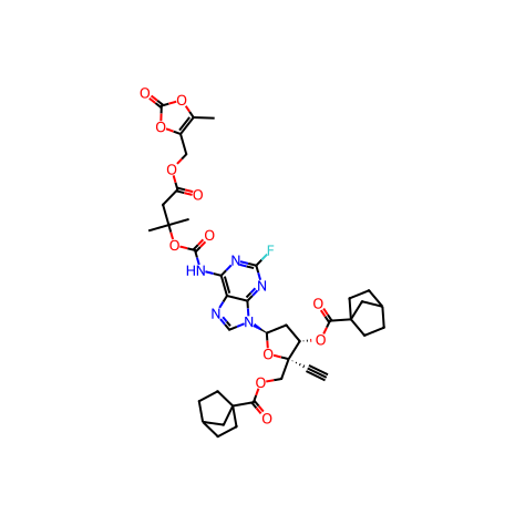 C#C[C@]1(COC(=O)C23CCC(CC2)C3)O[C@@H](n2cnc3c(NC(=O)OC(C)(C)CC(=O)OCc4oc(=O)oc4C)nc(F)nc32)C[C@@H]1OC(=O)C12CCC(CC1)C2